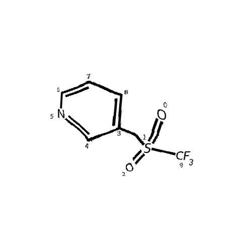 O=S(=O)(c1[c]nccc1)C(F)(F)F